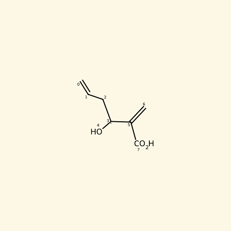 C=CC[C](O)C(=C)C(=O)O